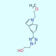 COCCn1ccc2cc(-c3ncn(CCO)n3)ccc21